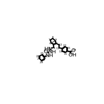 O=C(NNCC1C2CCC(O2)C1CCc1ccc(C(=O)O)cc1)Nc1ccccc1